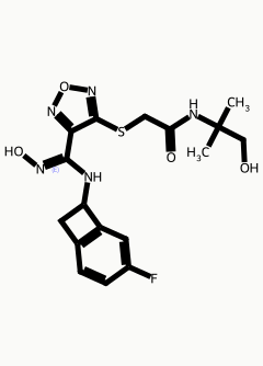 CC(C)(CO)NC(=O)CSc1nonc1/C(=N\O)NC1Cc2ccc(F)cc21